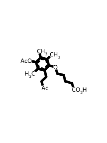 CC(=O)CCc1c(C)c(OC(C)=O)c(C)c(C)c1OCCCCC(=O)O